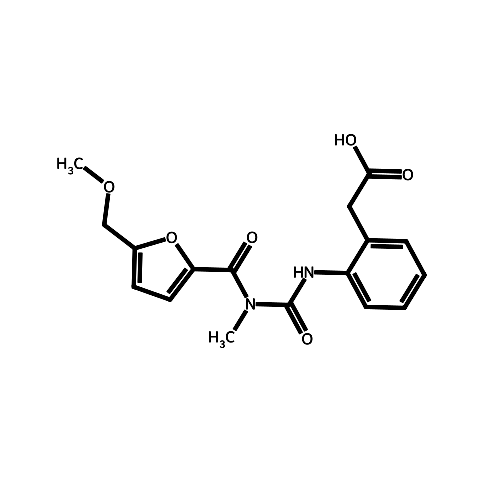 COCc1ccc(C(=O)N(C)C(=O)Nc2ccccc2CC(=O)O)o1